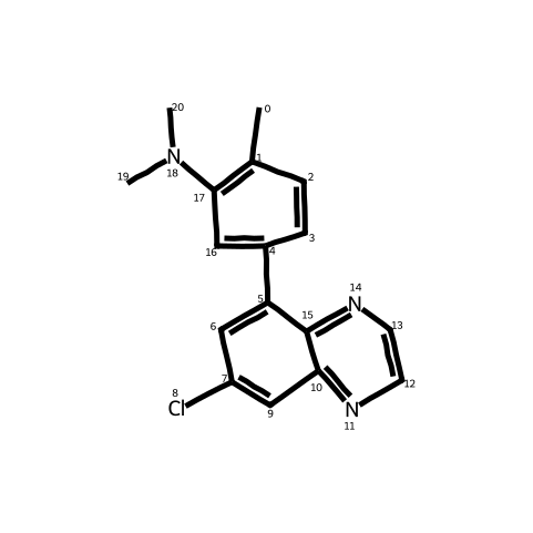 Cc1ccc(-c2cc(Cl)cc3nccnc23)cc1N(C)C